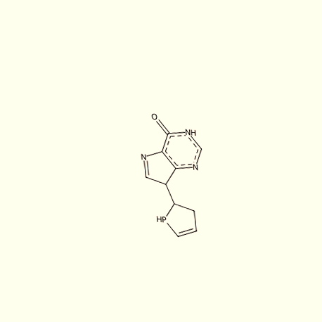 O=c1[nH]cnc2c1N=CC2C1CC=CP1